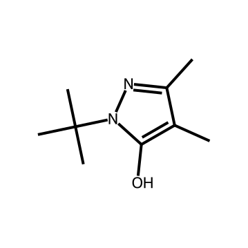 Cc1nn(C(C)(C)C)c(O)c1C